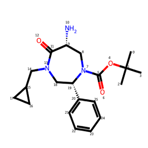 CC(C)(C)OC(=O)N1C[C@@H](N)C(=O)N(CC2CC2)C[C@H]1c1ccccc1